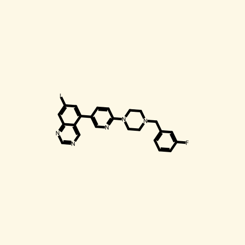 Fc1cccc(CN2CCN(c3ccc(-c4cc(I)cc5ncncc45)cn3)CC2)c1